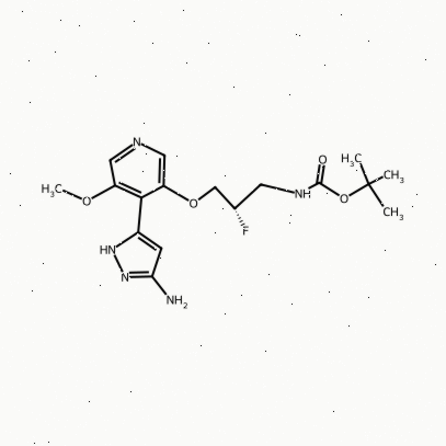 COc1cncc(OC[C@@H](F)CNC(=O)OC(C)(C)C)c1-c1cc(N)n[nH]1